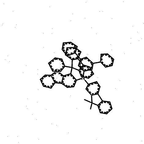 CC1(C)c2ccccc2-c2ccc(N(c3cc(-c4ccccc4)cc(-c4ccccc4)c3)c3ccc4c(oc5ccccc54)c3C3(c4ccccc4)c4ccccc4-c4ccccc43)cc21